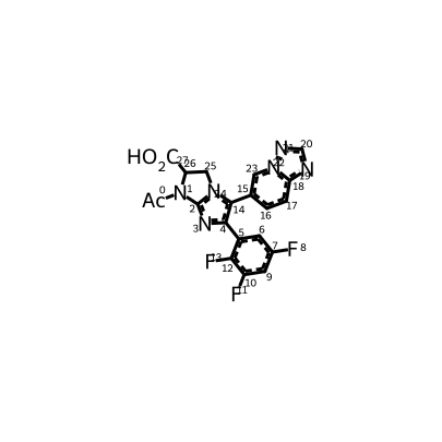 CC(=O)N1c2nc(-c3cc(F)cc(F)c3F)c(-c3ccc4ncnn4c3)n2CC1C(=O)O